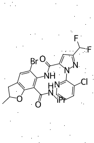 CC(C)NC(=O)c1c(NC(=O)c2cc(C(F)F)nn2-c2ncccc2Cl)c(Br)cc2c1OC(C)C2